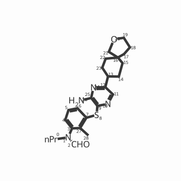 CCCN(C=O)c1cccc(Sc2ncc(C3CCC4(CCCOC4)CC3)nc2N)c1C